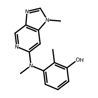 Cc1c(O)cccc1N(C)c1cc2c(cn1)ncn2C